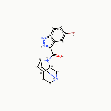 O=C(c1n[nH]c2ccc(Br)cc12)N1C2CC3CCN(C2)CC31